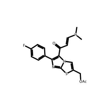 CC(=O)OCc1cn2c(C(=O)/C=C/N(C)C)c(-c3ccc(F)cc3)nc2s1